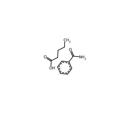 CCCCC(=O)O.NC(=O)c1ccccc1